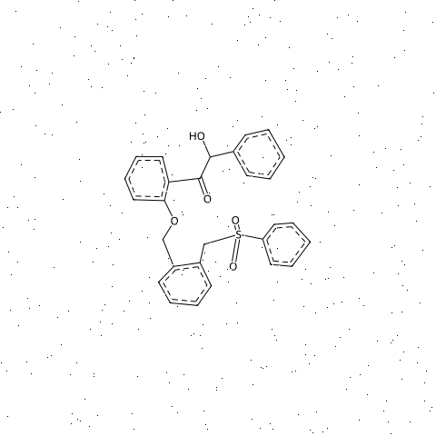 O=C(c1ccccc1OCc1ccccc1CS(=O)(=O)c1ccccc1)C(O)c1ccccc1